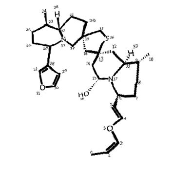 C/C=C\O/C=C/[C@@H]1CC[C@@H](C)[C@@H]2C[C@]3(C[C@@H](O)N12)C[C@]1(CC[C@H]2[C@H](C)CCC(c4ccoc4)N2C1)CS3